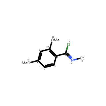 CC/N=C(\Cl)c1ccc(OC)cc1OC